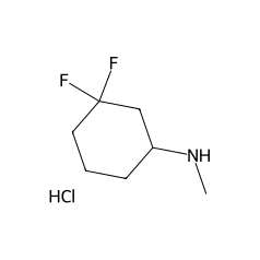 CNC1CCCC(F)(F)C1.Cl